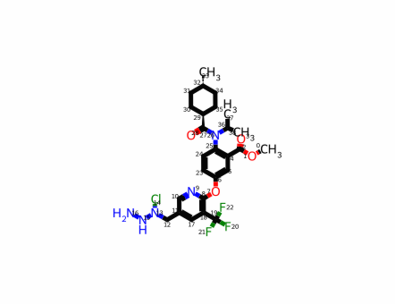 COC(=O)c1cc(Oc2ncc(CN(Cl)NN)cc2C(F)(F)F)ccc1N(C(=O)[C@H]1CC[C@H](C)CC1)C(C)C